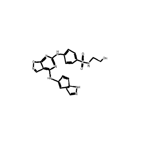 O=S(=O)(NCCO)c1ccc(Nc2nc(Nc3ccc4[nH]ncc4c3)c3cnoc3n2)cc1